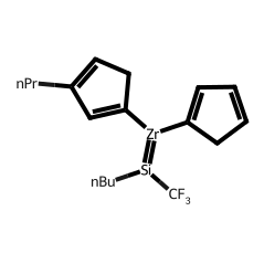 CCCC/[Si](=[Zr](/[C]1=CC=CC1)[C]1=CC(CCC)=CC1)C(F)(F)F